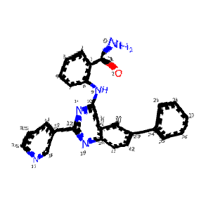 NC(=O)c1ccccc1Nc1nc(-c2cccnc2)nc2ccc(-c3ccccc3)cc12